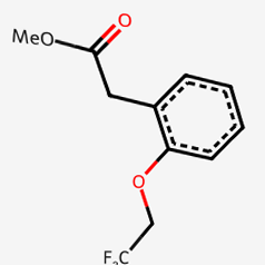 COC(=O)Cc1ccccc1OCC(F)(F)F